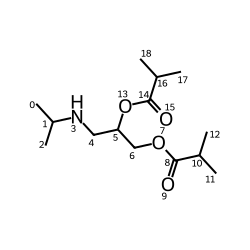 CC(C)NCC(COC(=O)C(C)C)OC(=O)C(C)C